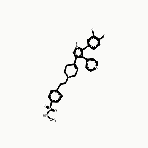 CNS(=O)(=O)c1ccc(CCN2CC=C(c3c[nH]c(-c4ccc(F)c(Cl)c4)c3-c3ccncc3)CC2)cc1